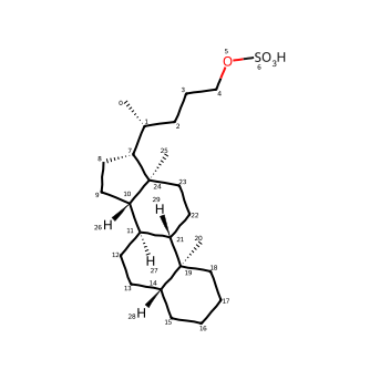 C[C@H](CCCOS(=O)(=O)O)[C@H]1CC[C@H]2[C@@H]3CC[C@H]4CCCC[C@]4(C)[C@H]3CC[C@]12C